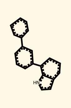 c1ccc(-c2cccc(-c3cccc4cc[nH]c34)c2)cc1